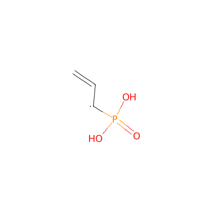 C=C[CH]P(=O)(O)O